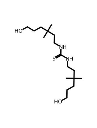 CC(C)(CCCO)CCNC(=S)NCCC(C)(C)CCCO